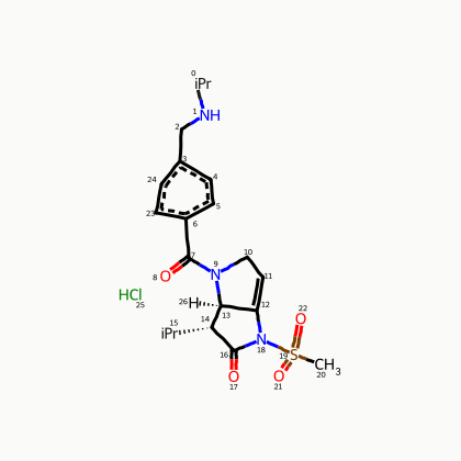 CC(C)NCc1ccc(C(=O)N2CC=C3[C@H]2[C@@H](C(C)C)C(=O)N3S(C)(=O)=O)cc1.Cl